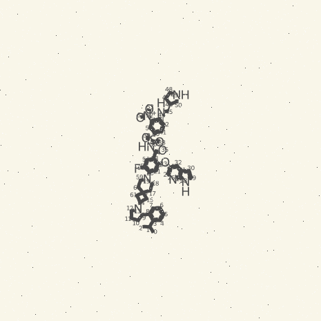 CC(C)c1ccccc1C1CCCN1C1CC2(CCN(c3cc(Oc4cnc5[nH]ccc5c4)c(C(=O)NS(=O)(=O)c4ccc(NC[C@H]5CCNC5)c([N+](=O)[O-])c4)cc3F)CC2)C1